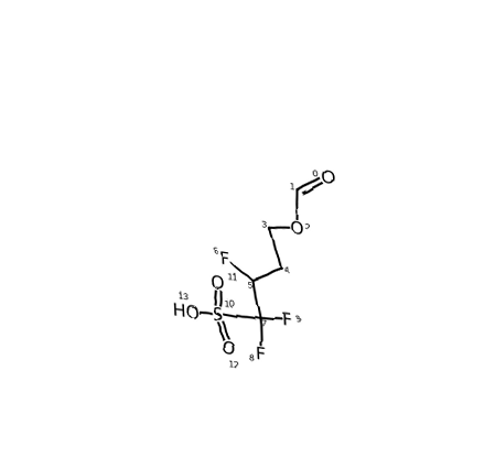 O=COCCC(F)C(F)(F)S(=O)(=O)O